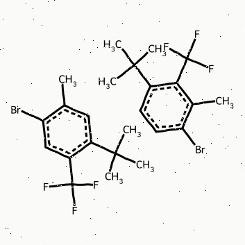 Cc1c(Br)ccc(C(C)(C)C)c1C(F)(F)F.Cc1cc(C(C)(C)C)c(C(F)(F)F)cc1Br